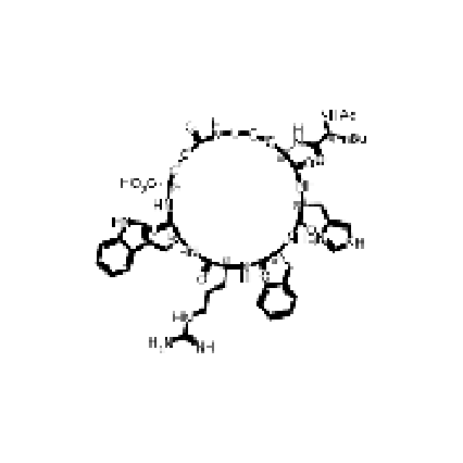 CCCC[C@H](NC(C)=O)C(=O)N[C@H]1CCCNC(=O)CC[C@@H](C(=O)O)NC(=O)[C@H](Cc2c[nH]c3ccccc23)NC(=O)[C@H](CCCNC(=N)N)NC(=O)[C@@H](Cc2ccccc2)NC(O)[C@H](Cc2c[nH]cn2)NC1=O